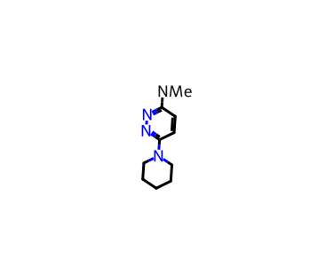 CNc1ccc(N2CCCCC2)nn1